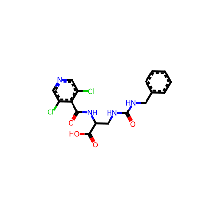 O=C(NCc1ccccc1)NCC(NC(=O)c1c(Cl)cncc1Cl)C(=O)O